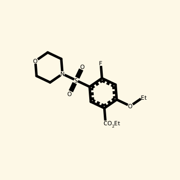 CCOC(=O)c1cc(S(=O)(=O)N2CCOCC2)c(F)cc1OCC